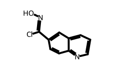 ON=C(Cl)c1ccc2ncccc2c1